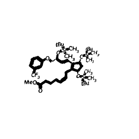 COC(=O)CCC/C=C\CC1[C@@H](O[Si](C)(C)C(C)(C)C)C[C@@H](O[Si](C)(C)C(C)(C)C)[C@@H]1/C=C/[C@H](COc1cccc(C(F)(F)F)c1)O[Si](C)(C)C(C)(C)C